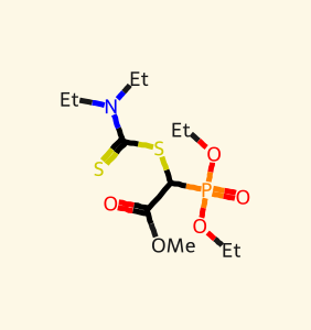 CCOP(=O)(OCC)C(SC(=S)N(CC)CC)C(=O)OC